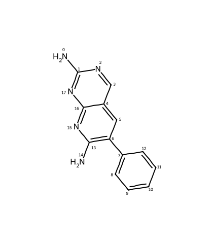 Nc1ncc2cc(-c3ccccc3)c(N)nc2n1